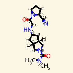 CN(C)C(=O)N1C[C@H]2C[C@H](NCC(=O)N3CCCC3C#N)C[C@H]2C1